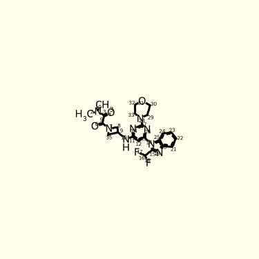 CN(C)C(=O)C(=O)N1CC(Nc2cc(-n3c(C(F)F)nc4ccccc43)nc(N3CCOCC3)n2)C1